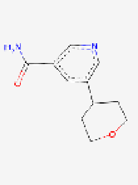 NC(=O)c1cncc(C2CCOCC2)c1